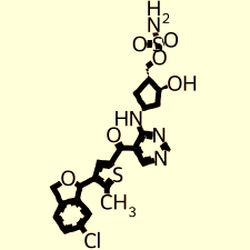 Cc1sc(C(=O)c2cncnc2N[C@@H]2C[C@H](COS(N)(=O)=O)[C@@H](O)C2)cc1C1OCc2ccc(Cl)cc21